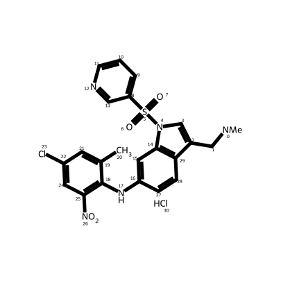 CNCc1cn(S(=O)(=O)c2cccnc2)c2cc(Nc3c(C)cc(Cl)cc3[N+](=O)[O-])ccc12.Cl